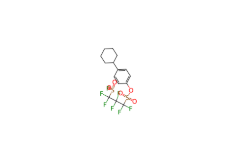 O=S(=O)(F)C(F)(F)C(F)(F)C(F)(F)S(=O)(=O)Oc1ccc(C2CCCCC2)cc1